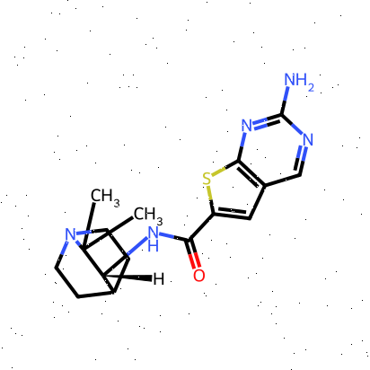 CC1(C)[C@H](NC(=O)c2cc3cnc(N)nc3s2)C2CCN1CC2